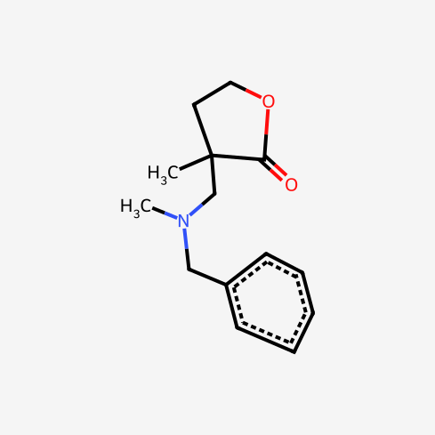 CN(Cc1ccccc1)CC1(C)CCOC1=O